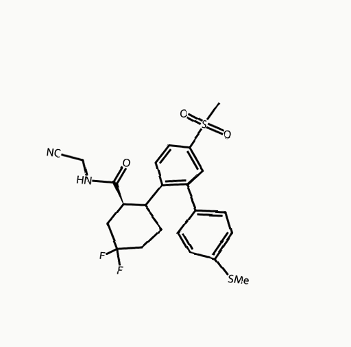 CSc1ccc(-c2cc(S(C)(=O)=O)ccc2C2CCC(F)(F)C[C@H]2C(=O)NCC#N)cc1